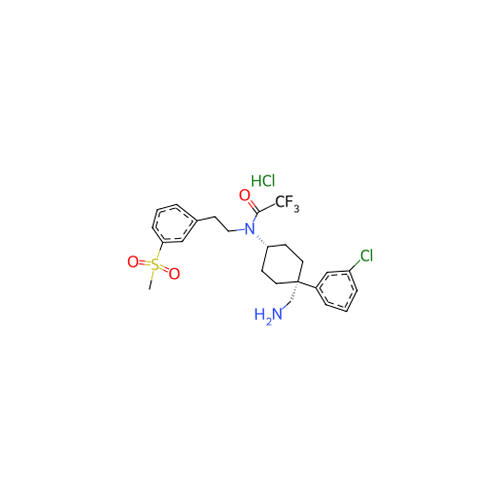 CS(=O)(=O)c1cccc(CCN(C(=O)C(F)(F)F)[C@H]2CC[C@](CN)(c3cccc(Cl)c3)CC2)c1.Cl